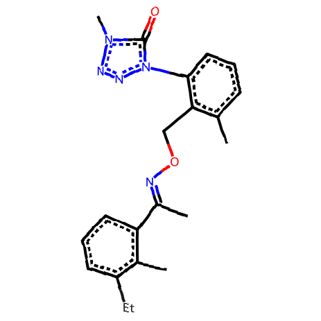 CCc1cccc(C(C)=NOCc2c(C)cccc2-n2nnn(C)c2=O)c1C